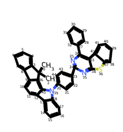 CC1(C)c2ccccc2-c2ccc3c4ccccc4n(-c4ccc(-c5nc(-c6ccccc6)c6c(n5)sc5ccccc56)cc4)c3c21